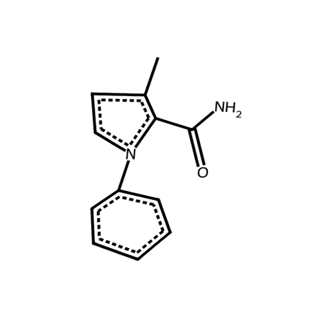 Cc1ccn(-c2ccccc2)c1C(N)=O